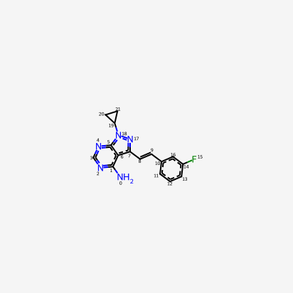 Nc1ncnc2c1c(C=Cc1cccc(F)c1)nn2C1CC1